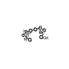 CN(C)[C@@H](C(=O)N1CCC[C@H]1c1ncc(-c2ccc(-c3ccc(-c4cnc([C@@H]5CCCN5C(=O)Cc5ccccc5O)[nH]4)cc3)cc2)[nH]1)c1ccccc1